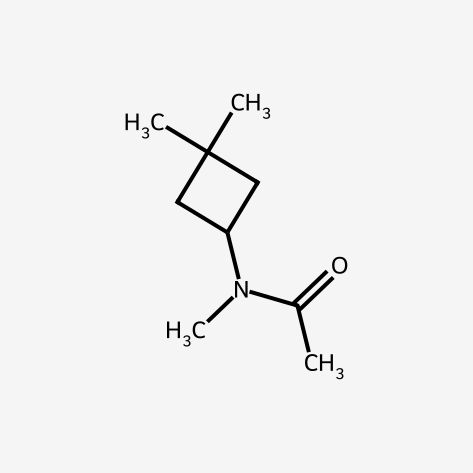 CC(=O)N(C)C1CC(C)(C)C1